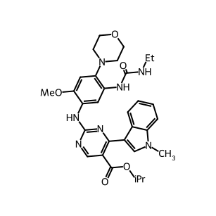 CCNC(=O)Nc1cc(Nc2ncc(C(=O)OC(C)C)c(-c3cn(C)c4ccccc34)n2)c(OC)cc1N1CCOCC1